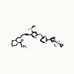 CC(C)Nc1cc(Nc2ccnc(-c3cnn(S(=O)(=O)C4CC4)c3)n2)ncc1C#CCCCC1COCCN1C(N)=O